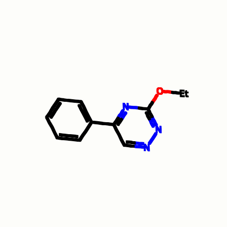 CCOc1nncc(-c2ccccc2)n1